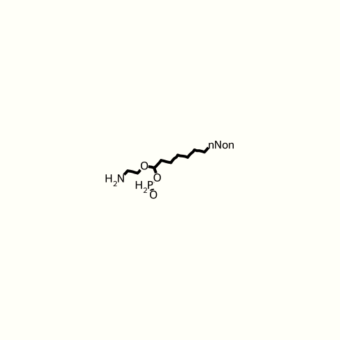 CCCCCCCCCCCCCCCC(OCCN)O[PH2]=O